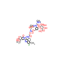 CC[C@@]1(O)C(=O)OCc2c1cc1n(c2=O)Cc2c-1nc1cc(F)c(C)c3c1c2[C@@H](NC(=O)COCN(CCS(C)(=O)=O)C(=O)OCc1ccc(O[C@@H]2OC(C(=O)O)[C@@H](O)C(O)C2O)c(NC(=O)CNC)c1)CC3